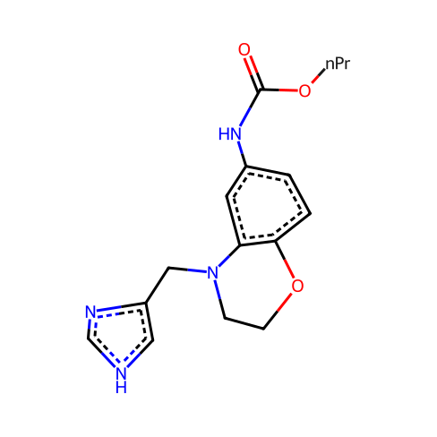 CCCOC(=O)Nc1ccc2c(c1)N(Cc1c[nH]cn1)CCO2